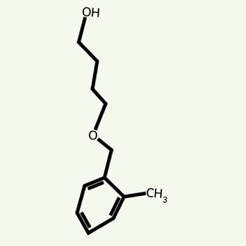 Cc1ccccc1COCCCCO